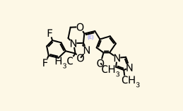 COc1cc(/C=C2/OCCN3C2=NOC3(C)c2cc(F)cc(F)c2)ccc1-n1cnc(C)c1